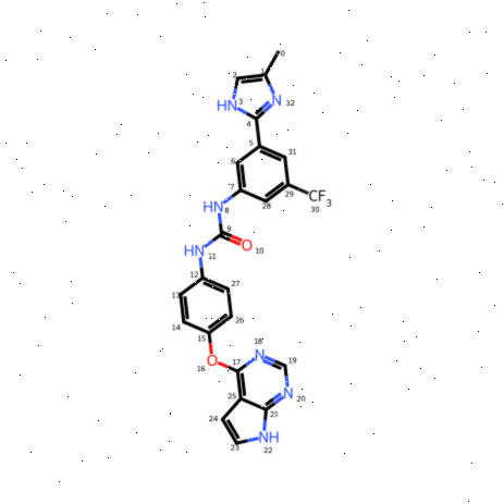 Cc1c[nH]c(-c2cc(NC(=O)Nc3ccc(Oc4ncnc5[nH]ccc45)cc3)cc(C(F)(F)F)c2)n1